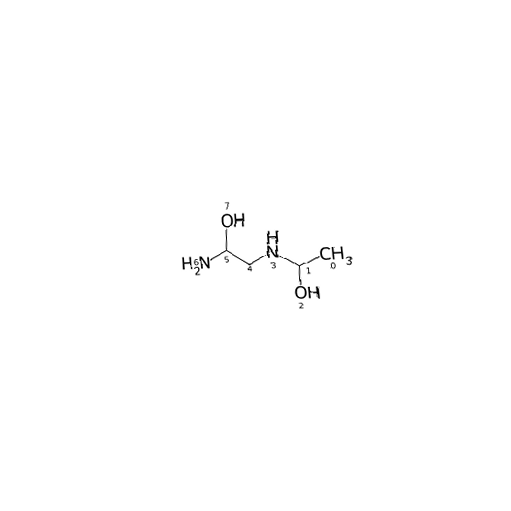 CC(O)NCC(N)O